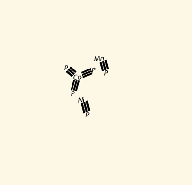 [P]#[Co](#[P])#[P].[P]#[Mn].[P]#[Ni]